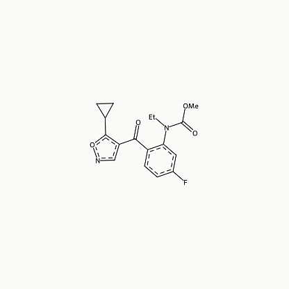 CCN(C(=O)OC)c1cc(F)ccc1C(=O)c1cnoc1C1CC1